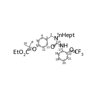 CCCCCCCN(Cc1ccc(OC(C)(C)C(=O)OCC)cc1)C(=O)Nc1ccccc1OC(F)(F)F